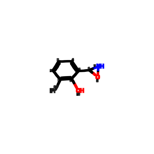 CC(C)c1cccc(C2NO2)c1O